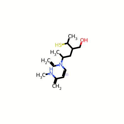 C=CN(/C=C\C(=C)NC)C(C)CC(CO)C(C)S